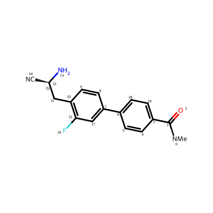 CNC(=O)c1ccc(-c2ccc(C[C@H](N)C#N)c(F)c2)cc1